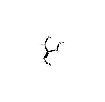 CCCN/C(=N\C(C)C)NC(C)C